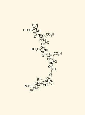 CSC[C@H](NC(=O)CNC(=O)[C@H](CC(C)C)NC(=O)[C@@H]1CCCN1C(=O)COCCNC(=O)CNC(=O)[C@@H](CCC(=O)O)NC(=O)CNC(=O)[C@@H](CCC(=O)O)NC(=O)CNC(=O)[C@@H](CCC(=O)O)NC(=O)CNC(=O)[C@@H](CCC(=O)O)NC(=O)CN)C(C)=O